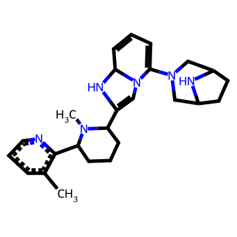 Cc1cccnc1C1CCCC(C2=CN3C(N4CC5CCC(C4)N5)=CC=CC3N2)N1C